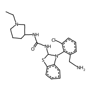 CCN1CCCC(NC(=O)NC2Sc3ccccc3N2c2c(Cl)cccc2CN)C1